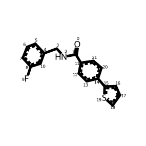 O=C(NCc1cccc(F)c1)c1ccc(-c2cccs2)cc1